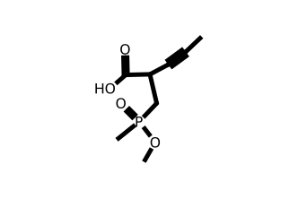 CC#CC(CP(C)(=O)OC)C(=O)O